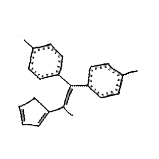 CCC(C1=CC=CC1)=C(c1ccc(O)cc1)c1ccc(O)cc1